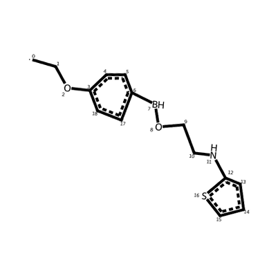 [CH2]COc1ccc(BOCCNc2cccs2)cc1